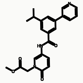 COC(=O)Cn1cc(NC(=O)c2cc(-c3cccnc3)cc(C(C)C)c2)ccc1=O